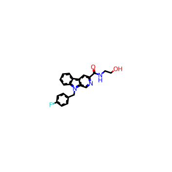 O=C(NCCO)c1cc2c3ccccc3n(Cc3ccc(F)cc3)c2cn1